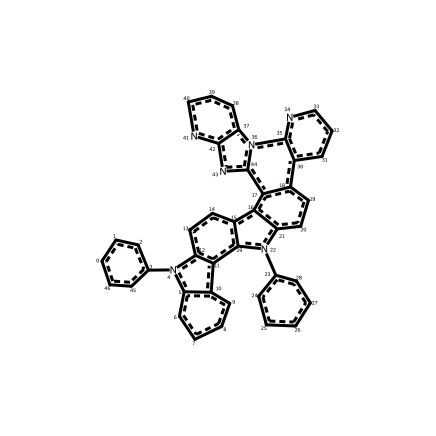 c1ccc(-n2c3ccccc3c3c2ccc2c4c5c(ccc4n(-c4ccccc4)c23)c2cccnc2n2c3cccnc3nc52)cc1